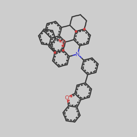 c1cc(-c2ccc3c(c2)oc2ccccc23)cc(N(c2ccccc2-c2cccc3cccc(C4CCCCC4)c23)c2cccc3c2oc2ccccc23)c1